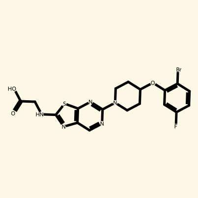 O=C(O)CNc1nc2cnc(N3CCC(Oc4cc(F)ccc4Br)CC3)nc2s1